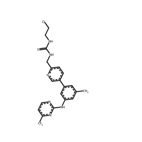 Cc1cc(Nc2nccc(C(F)(F)F)n2)cc(-c2ccc(CNC(=O)NCCCl)nc2)c1